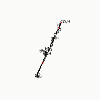 CC(C)(C)OC(=O)CCCCCCCCCCCCCCCCC(=O)N[C@@H](CCC(=O)NCCOCCOCC(=O)NCCOCCOCC(=O)NCCCCCC(=O)O)C(=O)OC(C)(C)C